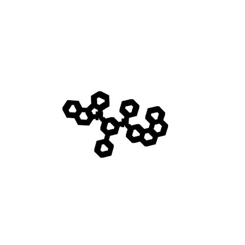 c1ccc(-c2cc(N(c3ccccc3)c3ccc4ccc5ccc6ccccc6c5c4c3)cc(-n3c4ccccc4c4c5ccccc5ccc43)c2)cc1